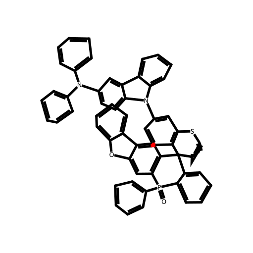 O=P1(c2ccccc2)c2ccccc2C2(c3ccccc3Sc3cc(-n4c5ccccc5c5cc(N(c6ccccc6)c6ccccc6)ccc54)ccc32)c2cc3c(cc21)oc1ccccc13